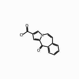 O=C(Cl)c1cc2c(=O)c3ccccc3ccn2c1